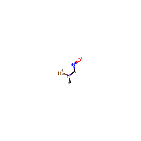 CI(S)CN=O